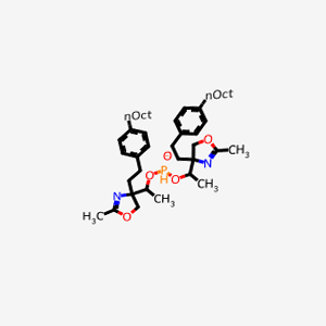 CCCCCCCCc1ccc(CCC2(C(C)O[PH](=O)OC(C)C3(CCc4ccc(CCCCCCCC)cc4)COC(C)=N3)COC(C)=N2)cc1